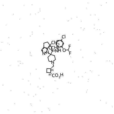 CC1(C)CCc2cnn(C3(C(=O)Nc4ccc(Cl)cc4OC(F)F)CCN(C[C@@H]4CC[C@H]4C(=O)O)CC3)c21